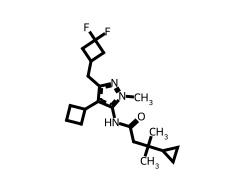 Cn1nc(CC2CC(F)(F)C2)c(C2CCC2)c1NC(=O)CC(C)(C)C1CC1